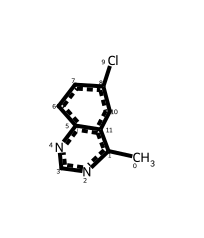 Cc1ncnc2ccc(Cl)cc12